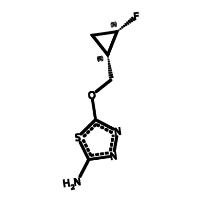 Nc1nnc(OC[C@@H]2C[C@@H]2F)s1